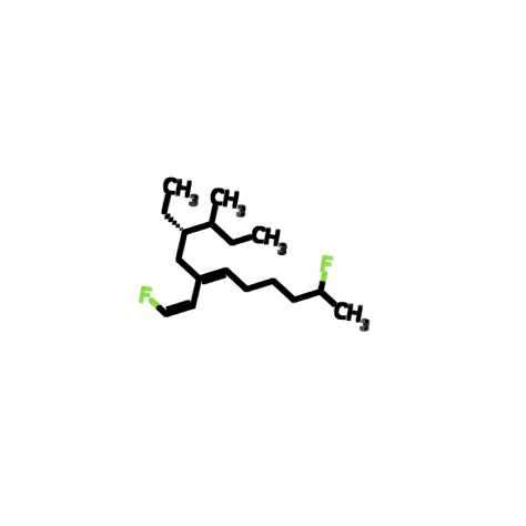 CCC(C)[C@@H](CC)CC(/C=C\F)=C/CCCC(C)F